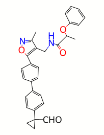 Cc1noc(-c2ccc(-c3ccc(C4(C=O)CC4)cc3)cc2)c1CNC(=O)C(C)Oc1ccccc1